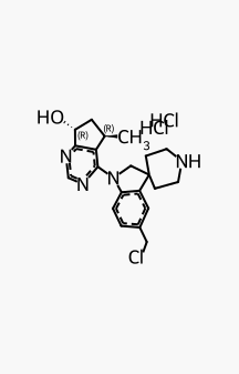 C[C@@H]1C[C@@H](O)c2ncnc(N3CC4(CCNCC4)c4cc(CCl)ccc43)c21.Cl.Cl